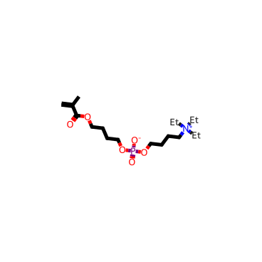 C=C(C)C(=O)OCCCCOP(=O)([O-])OCCCC[N+](CC)(CC)CC